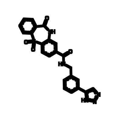 O=C(NCc1cccc(-c2cnn[nH]2)c1)c1ccc2c(c1)NC(=O)c1ccccc1S2(=O)=O